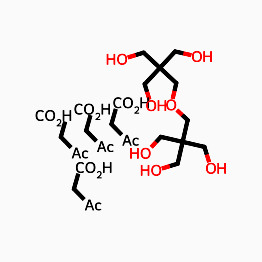 CC(=O)CC(=O)O.CC(=O)CC(=O)O.CC(=O)CC(=O)O.CC(=O)CC(=O)O.OCC(CO)(CO)COCC(CO)(CO)CO